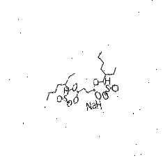 CCCCC(CC)C(OC(=O)CCC(=O)OC(C(CC)CCCC)[SH](=O)=O)[SH](=O)=O.[NaH]